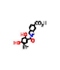 CC(C)C1=C(O)CC(O)C(C(=O)N2CC3=C(CC(C(=O)O)C=C3)C2)=C1